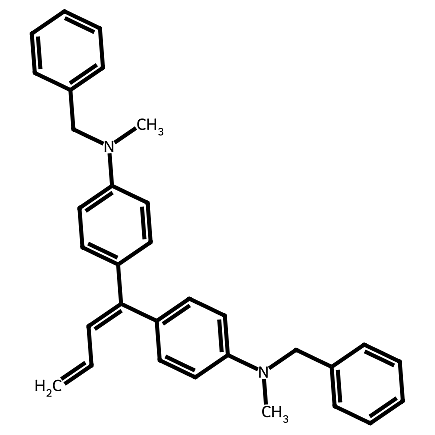 C=CC=C(c1ccc(N(C)Cc2ccccc2)cc1)c1ccc(N(C)Cc2ccccc2)cc1